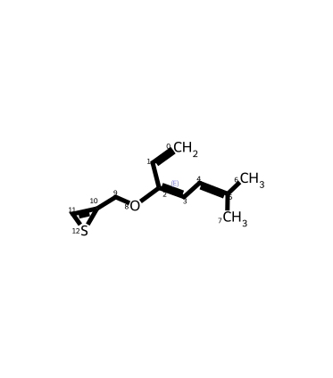 C=C/C(=C\C=C(C)C)OCC1=CS1